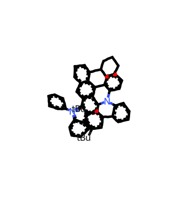 CC(C)(C)c1cc(-c2ccccc2N(c2ccc3c(c2)c2ccccc2n3-c2ccccc2)c2ccccc2-c2cccc3cccc(C4CCCCC4)c23)cc(C(C)(C)C)c1